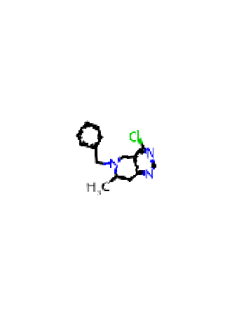 CC1Cc2ncnc(Cl)c2CN1Cc1ccccc1